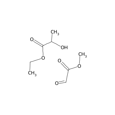 CCOC(=O)C(C)O.COC(=O)C=O